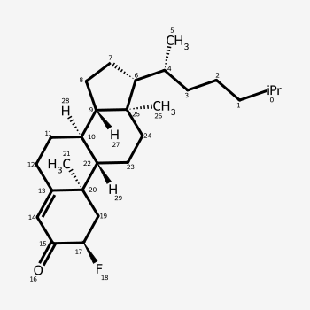 CC(C)CCC[C@@H](C)[C@H]1CC[C@H]2[C@@H]3CCC4=CC(=O)[C@H](F)C[C@]4(C)[C@H]3CC[C@]12C